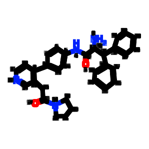 N[C@H](C(=O)Nc1ccc(-c2ccncc2CC(=O)N2CCCC2)cc1)C(c1ccccc1)c1ccccc1